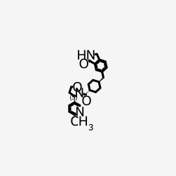 Cc1ccc([C@@H]2CCON2C(=O)[C@H]2CC[C@H](Cc3ccc4c(c3)C(=O)NC4)CC2)cn1